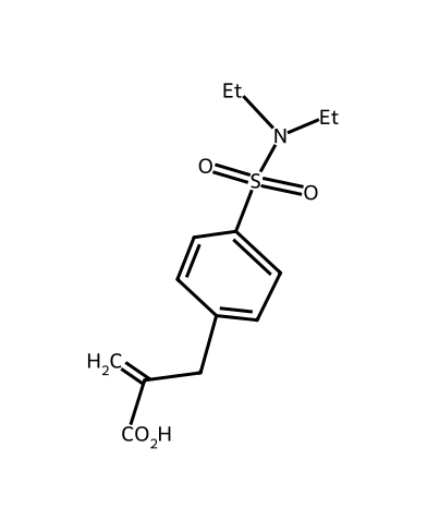 C=C(Cc1ccc(S(=O)(=O)N(CC)CC)cc1)C(=O)O